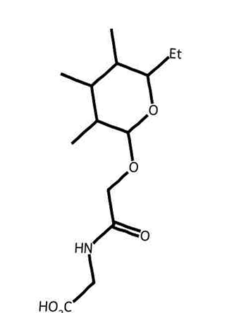 CCC1OC(OCC(=O)NCC(=O)O)C(C)C(C)C1C